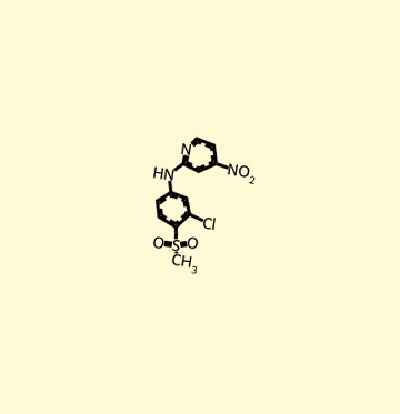 CS(=O)(=O)c1ccc(Nc2cc([N+](=O)[O-])ccn2)cc1Cl